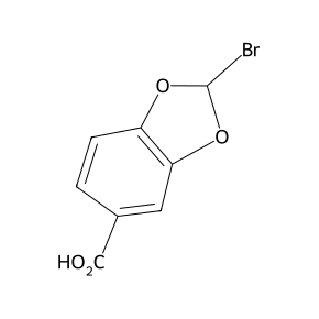 O=C(O)c1ccc2c(c1)OC(Br)O2